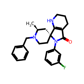 C[C@H]1C[C@]2(CCN1Cc1ccccc1)C1=C(CCCN1)C(=O)N2c1cccc(F)c1